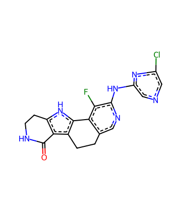 O=C1NCCc2[nH]c3c(c21)CCc1cnc(Nc2cncc(Cl)n2)c(F)c1-3